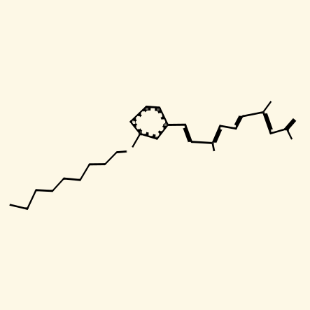 CCCCCCCCCOc1cccc(C=CC(C)=CC=CC(C)=CC(=O)O)c1